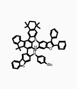 CC(C)(C)c1ccc(Nc2cc3sc4ccccc4c3cc2-c2c3c(c4c5cc6c(cc5n5c4c2Bc2cc4oc(-c7ccccc7)c(-c7ccccc7)c4cc2-5)C(C)(C)CCC6(C)C)-c2ccccc2C3(C)C)cc1